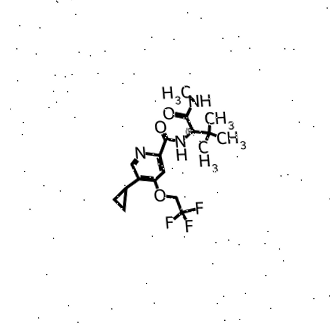 CNC(=O)[C@H](NC(=O)c1cc(OCC(F)(F)F)c(C2CC2)cn1)C(C)(C)C